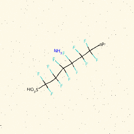 CCCC(F)(F)C(F)(F)C(F)(F)C(F)(F)C(F)(F)C(F)(F)S(=O)(=O)O.N